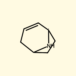 C1=C[C]2CCC(C1)N2